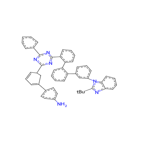 CC(C)(C)c1nc2ccccc2n1-c1cccc(-c2ccccc2-c2ccccc2-c2nc(-c3ccccc3)nc(C3C=CC=C(c4ccc(N)cc4)C3)n2)c1